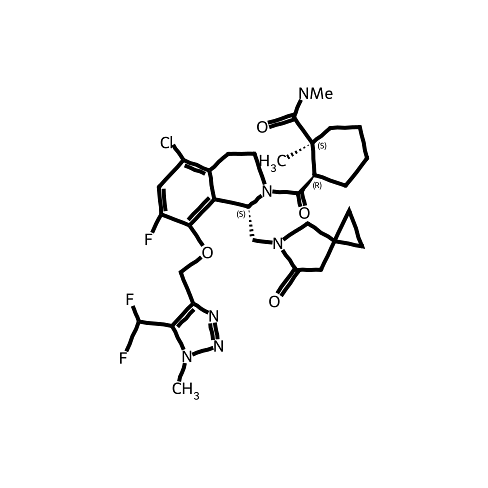 CNC(=O)[C@@]1(C)CCCC[C@H]1C(=O)N1CCc2c(Cl)cc(F)c(OCc3nnn(C)c3C(F)F)c2[C@H]1CN1CC2(CC2)CC1=O